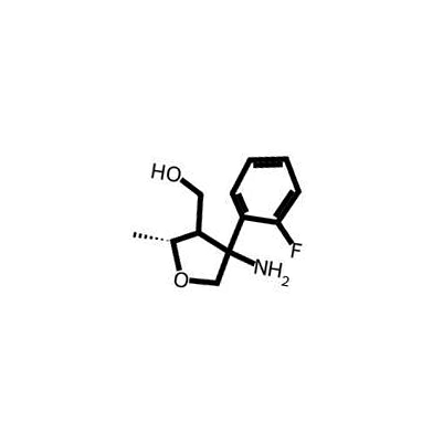 C[C@H]1OCC(N)(c2ccccc2F)C1CO